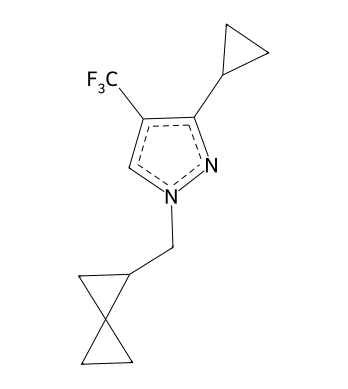 FC(F)(F)c1cn(CC2CC23CC3)nc1C1CC1